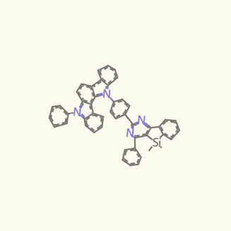 C[Si]1(C)c2ccccc2-c2nc(-c3ccc(-n4c5ccccc5c5ccc6c(c7ccccc7n6-c6ccccc6)c54)cc3)nc(-c3ccccc3)c21